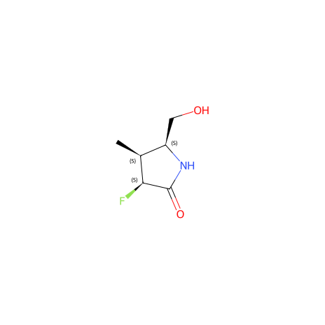 C[C@@H]1[C@H](F)C(=O)N[C@@H]1CO